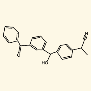 CC(C#N)c1ccc(C(O)c2cccc(C(=O)c3ccccc3)c2)cc1